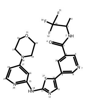 CC(NC(=O)c1cncc(-c2cnc(Nc3cc(N4CCOCC4)ccn3)s2)c1)C(F)(F)F